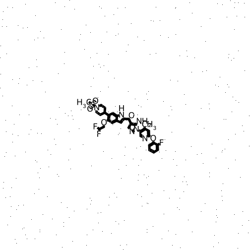 Cc1cc(Oc2ccccc2F)ncc1-n1ncc(C(=O)c2cc3cc(OCC(F)F)c(C4CCN(S(C)(=O)=O)CC4)cc3[nH]2)c1N